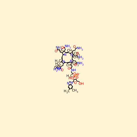 C/C1=C2N=C(/C=C3N=C(/C(C)=C4\[N-]C(C(CC(N)=O)C4(C)CCC(=O)NCC(C)OP(=O)([O-])OC4C(CO)OC(n5cnc6cc(C)c(C)cc65)C4O)C4(C)N=C1C(CCC(N)=O)C4(C)CC(N)=O)C(CCC(N)=O)C\3(C)C)C(CCC(N)=O)C/2(C)CC(N)=O.[CH2-]CCN.[Co+3]